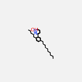 CCCCCCCCCCc1ccc(CCCC(C)O)c(-c2cccnn2)c1